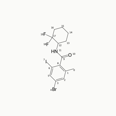 Cc1cc(Br)cc(I)c1C(=O)NC1CCCCC1(F)F